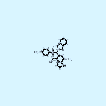 Cc1ccc(S(=O)(=O)C(c2cc(C)c3[nH]ccc3c2CO)N2Cc3ccccc3C2)cc1